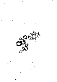 C[SiH2]OC(O[SiH2]C)C(C)(C)[C@H]1CCN(S(=O)(=O)c2ccccc2Nc2nc(Cl)ncc2Cl)C1